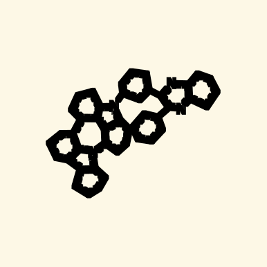 c1ccc(-c2nc3ccccc3nc2-c2cccc(-n3c4cccc5c6cccc7c8ccccc8n(c8cccc3c8c54)c67)c2)cc1